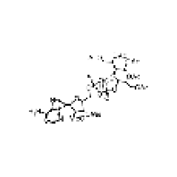 COC1C(COP(O)(=S)OP(=O)(O)OC(OC([C@H](C)OC(C)=O)[C@@H](COC(C)=O)OC(C)=O)[C@@H](COC(C)=O)OC(C)=O)OC(n2cnc3c(N)ncnc32)C1OC